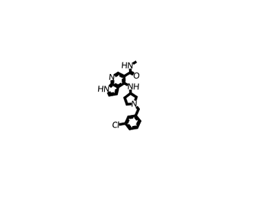 CNC(=O)c1cnc2[nH]ccc2c1NC1CCN(Cc2cccc(Cl)c2)C1